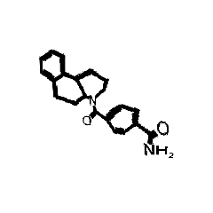 NC(=O)c1ccc(C(=O)N2CCCC3c4ccccc4CCC32)cc1